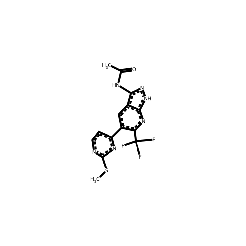 CSc1nccc(-c2cc3c(NC(C)=O)n[nH]c3nc2C(F)(F)F)n1